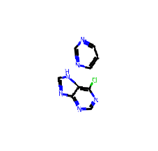 Clc1ncnc2nc[nH]c12.c1cncnc1